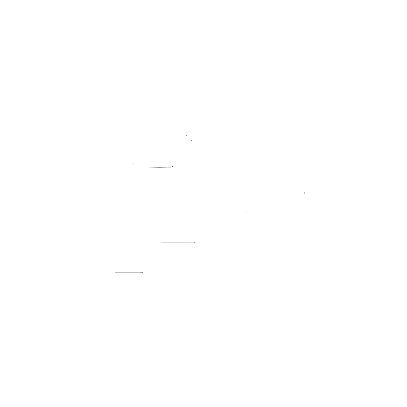 NC(N)=O.OCCCCCCO